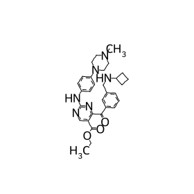 CCOC(=O)c1cnc(Nc2ccc(N3CCN(C)CC3)cc2)nc1C(=O)c1cccc(CNC2CCC2)c1